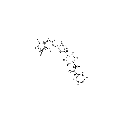 Cc1nn(C)c2cc(-c3noc([C@H]4CC[C@H](NC(=O)c5ccccc5)CC4)n3)ccc12